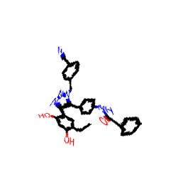 CCc1cc(-c2nnn(Cc3ccc(C#N)cc3)c2-c2ccc(NC(=O)c3ccccc3)cc2)c(O)cc1O